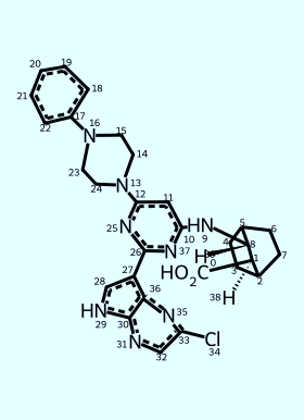 O=C(O)[C@@H]1C2CCC(CC2)[C@H]1Nc1cc(N2CCN(c3ccccc3)CC2)nc(-c2c[nH]c3ncc(Cl)nc23)n1